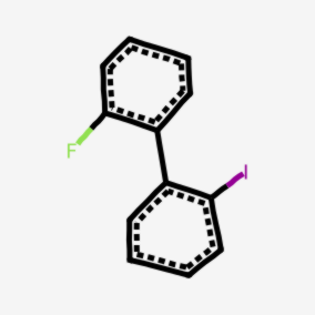 Fc1ccccc1-c1ccccc1I